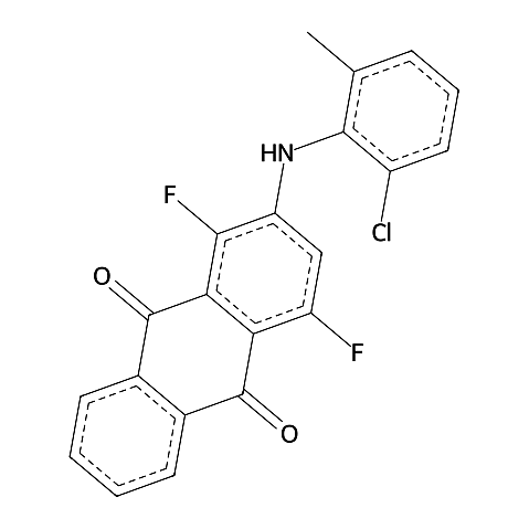 Cc1cccc(Cl)c1Nc1cc(F)c2c(c1F)C(=O)c1ccccc1C2=O